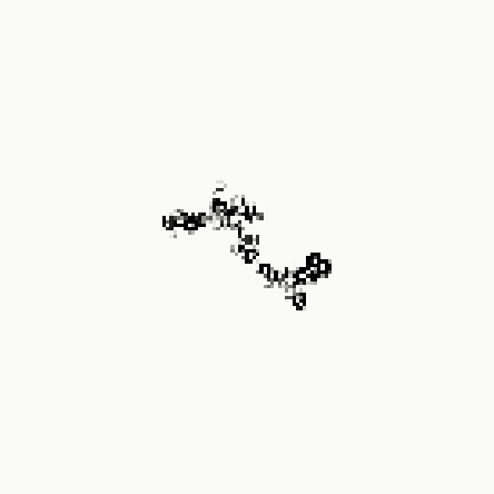 Cc1ncsc1-c1ccc(CNC(=O)[C@@H]2C[C@@H](OC=O)CN2C(=O)[C@@H](NC(=O)CCNC(=O)C2CCN([C@H]3C[C@@H](COc4nc(N5CC6CCC(C5)N6)c5cnc(-c6cccc7cccc(Cl)c67)c(F)c5n4)N(C)C3)CC2)C(C)(C)C)cc1